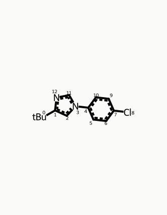 CC(C)(C)c1cn(-c2ccc(Cl)cc2)cn1